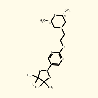 C[C@@H]1CN(CCOc2ncc(B3OC(C)(C)C(C)(C)O3)cn2)C[C@H](C)O1